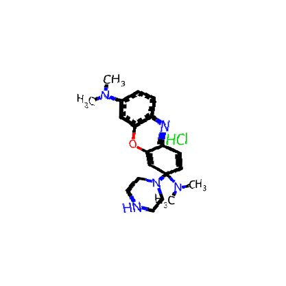 CN(C)c1ccc2c(c1)OC1=CC(N(C)C)(N3CCNCC3)C=CC1=N2.Cl